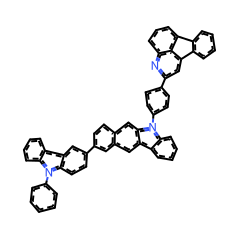 c1ccc(-n2c3ccccc3c3cc(-c4ccc5cc6c(cc5c4)c4ccccc4n6-c4ccc(-c5cc6c7c(cccc7n5)-c5ccccc5-6)cc4)ccc32)cc1